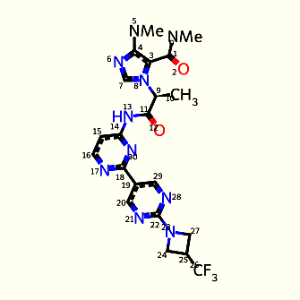 CNC(=O)c1c(NC)ncn1[C@@H](C)C(=O)Nc1ccnc(-c2cnc(N3CC(C(F)(F)F)C3)nc2)n1